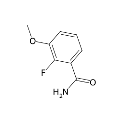 COc1cccc(C(N)=O)c1F